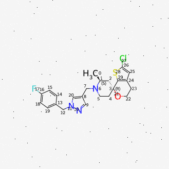 C[C@H]1C[C@@]2(CCN1Cc1cnn(Cc3ccc(F)cc3)c1)OCCc1cc(Cl)sc12